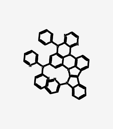 c1ccc(N2c3cc(N(c4ccccn4)c4ccccn4)cc4c3B(c3nccnc32)c2cccc3c5c6ccccc6n(-c6ccccn6)c5n-4c23)cc1